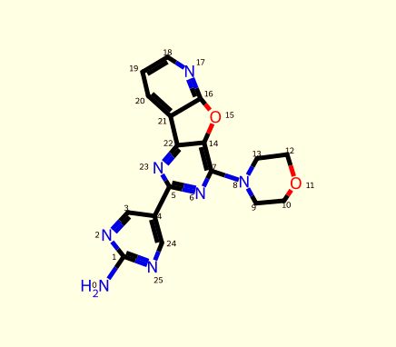 Nc1ncc(-c2nc(N3CCOCC3)c3oc4ncccc4c3n2)cn1